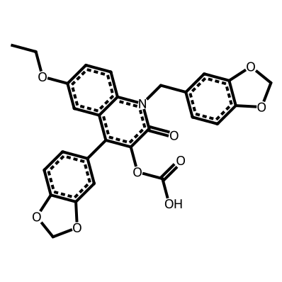 CCOc1ccc2c(c1)c(-c1ccc3c(c1)OCO3)c(OC(=O)O)c(=O)n2Cc1ccc2c(c1)OCO2